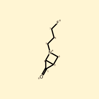 O=C1C2CN(CCCF)C12